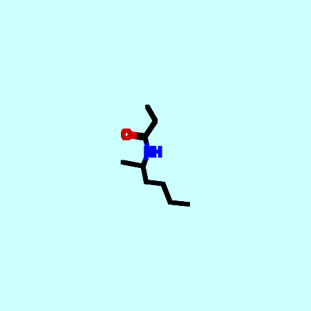 CCCCC(C)NC(=O)CC